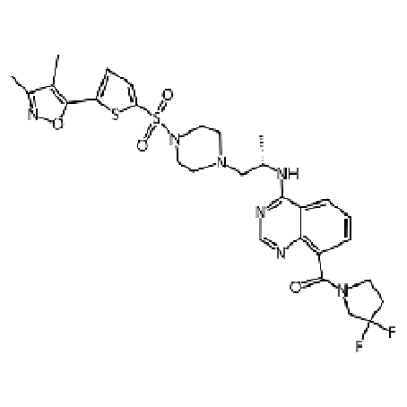 Cc1noc(-c2ccc(S(=O)(=O)N3CCN(C[C@H](C)Nc4ncnc5c(C(=O)N6CCC(F)(F)C6)cccc45)CC3)s2)c1C